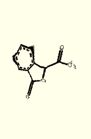 O=C1OC(C(=O)C(F)(F)F)c2ccccc21